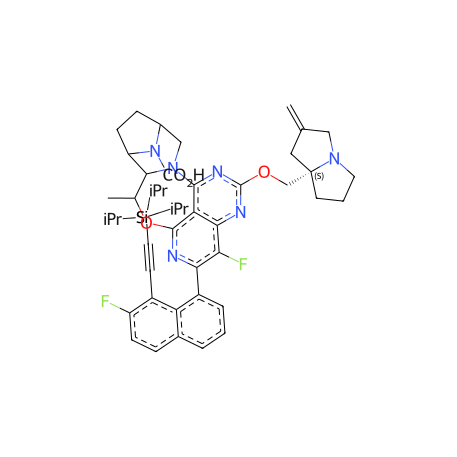 C=C1CN2CCC[C@@]2(COc2nc3c4c(nc(-c5cccc6ccc(F)c(C#C[Si](C(C)C)(C(C)C)C(C)C)c56)c(F)c4n2)OC(C)C2C4CCC(CN32)N4C(=O)O)C1